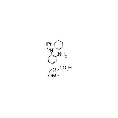 COC/C(=C/C(=O)O)c1ccc(N(CC(C)C)C2CCCCC2)c(N)c1